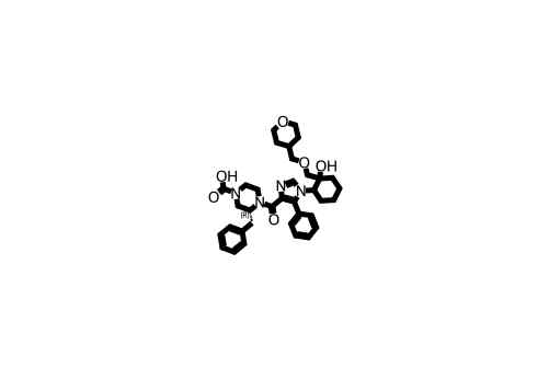 O=C(O)N1CCN(C(=O)c2ncn(C3CCCCC3(O)COCC3CCOCC3)c2-c2ccccc2)[C@H](Cc2ccccc2)C1